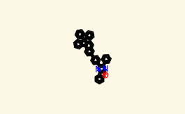 c1ccc(-c2nc3oc4ccccc4c3nc2-c2ccc(-c3ccc4c5c(ccc4c3)C(c3ccccc3)(c3ccccc3)c3ccccc3-5)cc2)cc1